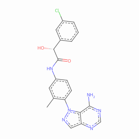 Cc1cc(NC(=O)[C@H](O)c2cccc(Cl)c2)ccc1-n1ncc2ncnc(N)c21